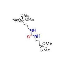 CO[Si](C)(CCCNC(=O)NCCC[Si](OC)(OC)OC)OC